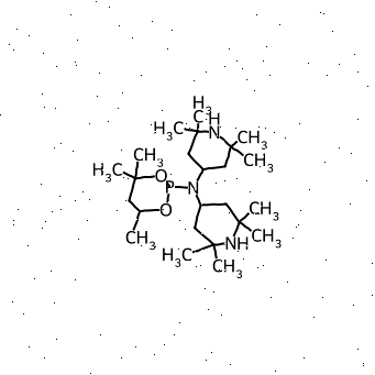 CC1CC(C)(C)OP(N(C2CC(C)(C)NC(C)(C)C2)C2CC(C)(C)NC(C)(C)C2)O1